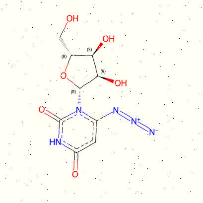 [N-]=[N+]=Nc1cc(=O)[nH]c(=O)n1[C@@H]1O[C@H](CO)[C@@H](O)[C@H]1O